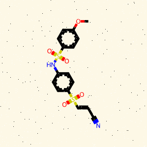 COc1ccc(S(=O)(=O)Nc2ccc(S(=O)(=O)C=CC#N)cc2)cc1